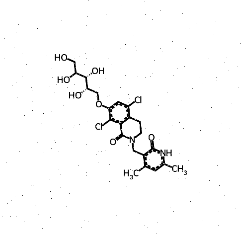 Cc1cc(C)c(CN2CCc3c(Cl)cc(OC[C@H](O)[C@@H](O)C(O)CO)c(Cl)c3C2=O)c(=O)[nH]1